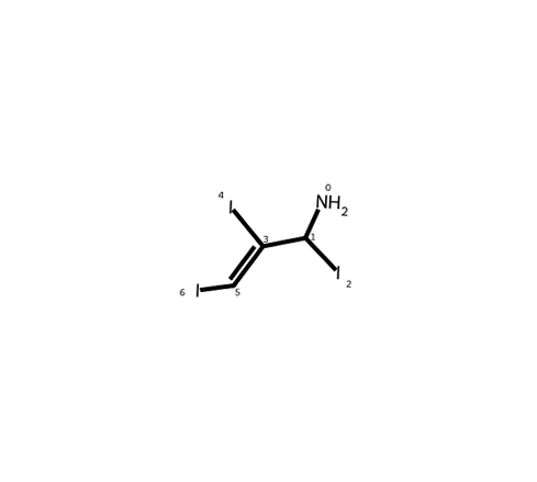 NC(I)C(I)=CI